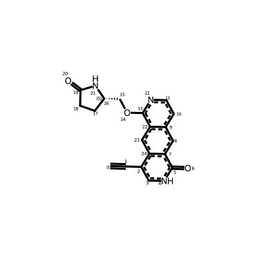 C#Cc1c[nH]c(=O)c2cc3ccnc(OC[C@@H]4CCC(=O)N4)c3cc12